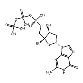 CC[C@]1(COP(=O)(O)OP(=O)(O)OP(=O)(O)O)O[C@@H](n2cnc3c(=O)[nH]c(N)nc32)C[C@@H]1O